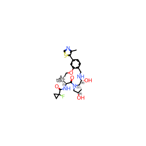 CC(=O)COc1cc(-c2scnc2C)ccc1CN[C@H](O)[C@@H]1C[C@@H](O)CN1C(=O)[C@@H](NC(=O)C1(F)CC1)C(C)(C)C